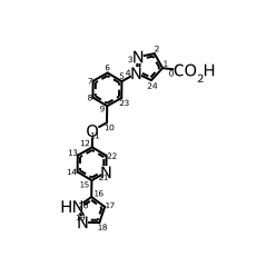 O=C(O)c1cnn(-c2cccc(COc3ccc(-c4ccn[nH]4)nc3)c2)c1